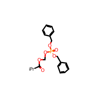 CC(C)C(=O)OCOP(=O)(OCc1ccccc1)OCc1ccccc1